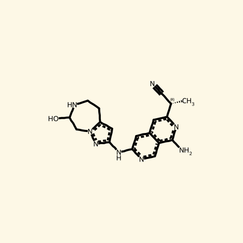 C[C@@H](C#N)c1cc2cc(Nc3cc4n(n3)CC(O)NCC4)ncc2c(N)n1